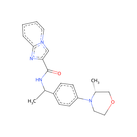 CC(NC(=O)c1cn2ccccc2n1)c1ccc(N2CCOC[C@H]2C)cc1